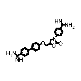 N=C(N)c1ccc(-c2ccc(OCC3CN(c4ccc(C(=N)N)cc4)C(=O)O3)cc2)cc1